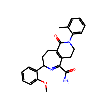 COc1ccccc1C1CCC2=C(CCN(c3ccccc3C)C2=O)C(C(N)=O)=N1